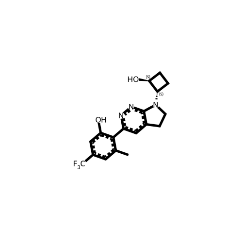 Cc1cc(C(F)(F)F)cc(O)c1-c1cc2c(nn1)N([C@H]1CC[C@@H]1O)CC2